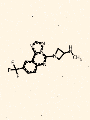 CNC1CN(c2nc3ccc(C(F)(F)F)cc3c3ncnn23)C1